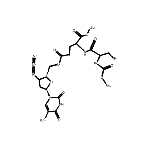 Cc1cn([C@H]2CC(N=[N+]=[N-])[C@@H](COC(=O)CCC(NC(=O)C(CC(C)C)NC(=O)OC(C)(C)C)C(=O)OC(C)(C)C)O2)c(=O)[nH]c1=O